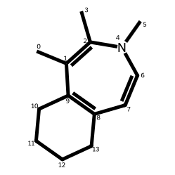 CC1=C(C)N(C)C=CC2=C1CCCC2